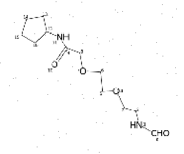 O=CNCCOCCOCC(=O)NC1CCCC1